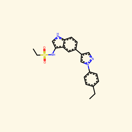 CCc1ccc(-n2cc(-c3ccc4[nH]cc(NS(=O)(=O)CC)c4c3)cn2)cc1